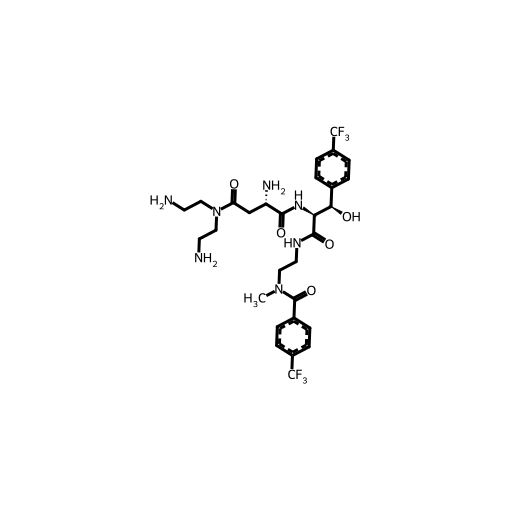 CN(CCNC(=O)[C@@H](NC(=O)[C@@H](N)CC(=O)N(CCN)CCN)[C@H](O)c1ccc(C(F)(F)F)cc1)C(=O)c1ccc(C(F)(F)F)cc1